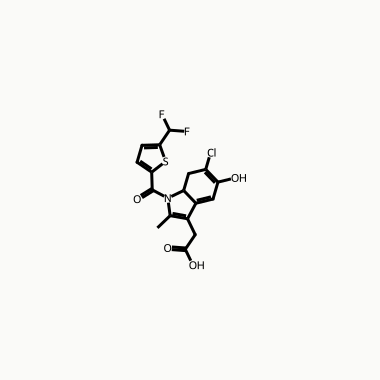 CC1=C(CC(=O)O)C2=CC(O)=C(Cl)CC2N1C(=O)c1ccc(C(F)F)s1